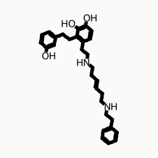 Oc1cccc(CCc2c(CCNCCC=CCCNCCc3ccccc3)ccc(O)c2O)c1